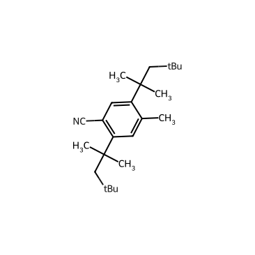 Cc1cc(C(C)(C)CC(C)(C)C)c(C#N)cc1C(C)(C)CC(C)(C)C